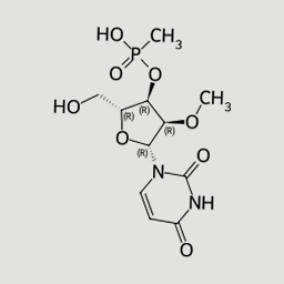 CO[C@@H]1[C@H](OP(C)(=O)O)[C@@H](CO)O[C@H]1n1ccc(=O)[nH]c1=O